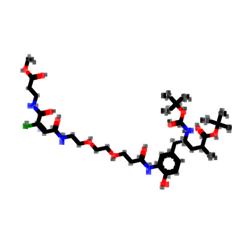 COC(=O)CCNC(=O)/C(Br)=C\C(=O)NCCOCCOCCC(=O)Nc1cc(C[C@@H](CC(C)C(=O)OC(C)(C)C)NC(=O)OC(C)(C)C)ccc1O